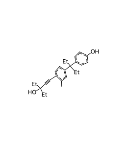 CCC(O)(C#Cc1ccc(C(CC)(CC)c2ccc(O)cc2)cc1C)CC